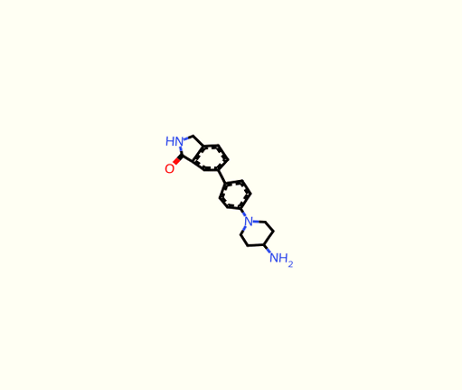 NC1CCN(c2ccc(-c3ccc4c(c3)C(=O)NC4)cc2)CC1